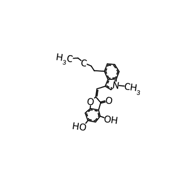 CCCCCc1cccc2c1c(C=C1Oc3cc(O)cc(O)c3C1=O)cn2C